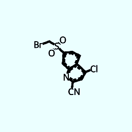 N#Cc1cc(Cl)c2ccc(S(=O)(=O)CBr)cc2n1